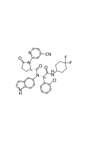 N#Cc1ccnc(N2C(=O)CC[C@H]2C(=O)N(c2ccc3[nH]ccc3c2)[C@H](C(=O)NC2CCC(F)(F)CC2)c2ccccc2Cl)c1